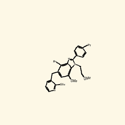 COCCn1c(-c2ccc(C(C)C)cc2)nc2c(Br)c(Cc3cccnc3SC)cc(OC)c21